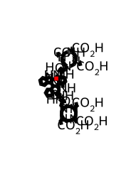 O=C(O)CN1CCN(CC(=O)O)CCN(CC(=O)NNC(=O)c2[nH]c3ccccc3c2C(c2ccccc2)c2c(C(=O)NNC(=O)CN3CCN(CC(=O)O)CCN(CC(=O)O)CCN(CC(=O)O)CC3)[nH]c3ccccc23)CCN(CC(=O)O)CC1